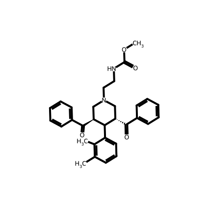 COC(=O)NCCN1C[C@H](C(=O)c2ccccc2)C(c2cccc(C)c2C)[C@@H](C(=O)c2ccccc2)C1